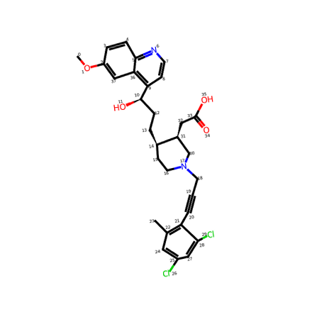 COc1ccc2nccc([C@H](O)CC[C@@H]3CCN(CC#Cc4c(C)cc(Cl)cc4Cl)C[C@@H]3CC(=O)O)c2c1